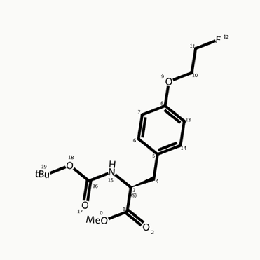 COC(=O)[C@H](Cc1ccc(OCCF)cc1)NC(=O)OC(C)(C)C